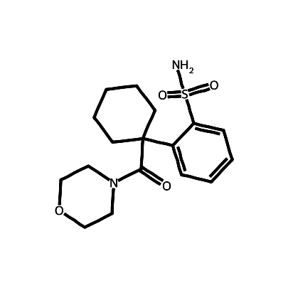 NS(=O)(=O)c1ccccc1C1(C(=O)N2CCOCC2)CCCCC1